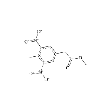 COC(=O)Cc1cc([N+](=O)[O-])c(C)c([N+](=O)[O-])c1